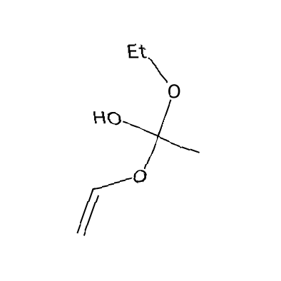 C=COC(C)(O)OCC